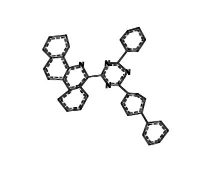 c1ccc(-c2ccc(-c3nc(-c4ccccc4)nc(-c4nc5c6ccccc6ccc5c5ccccc45)n3)cc2)cc1